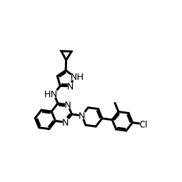 Cc1cc(Cl)ccc1C1=CCN(c2nc(Nc3cc(C4CC4)[nH]n3)c3ccccc3n2)CC1